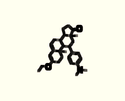 CCOC1=CC2=CCC3C4CCC(=O)C4(C)CC(c4ccc(N(C)C)cc4)C3C2(C)CC1